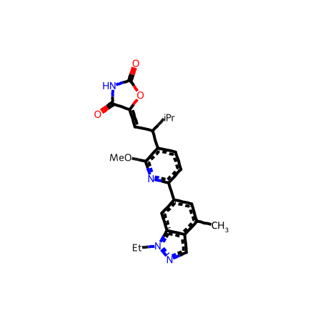 CCn1ncc2c(C)cc(-c3ccc(C(/C=C4\OC(=O)NC4=O)C(C)C)c(OC)n3)cc21